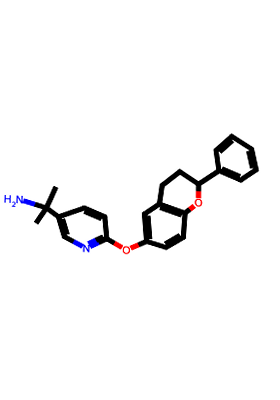 CC(C)(N)c1ccc(Oc2ccc3c(c2)CCC(c2ccccc2)O3)nc1